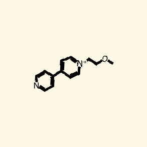 COCC[n+]1ccc(-c2ccncc2)cc1